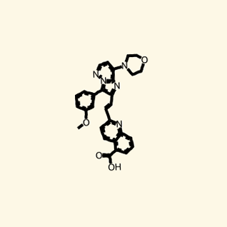 COc1cccc(-c2c(C=Cc3ccc4c(C(=O)O)cccc4n3)nc3c(N4CCOCC4)ccnn23)c1